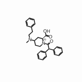 CN(CCc1ccccc1)C1CCN(C(=O)C(c2ccccc2)c2ccccc2)[C@H](C(=O)O)C1